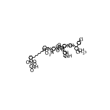 CC1(C)CCC(CN2CCN(c3ccc(C(=O)NS(=O)(=O)c4ccc(NCC5CCCN(CCCCCCCc6cccc7c6C(=O)N(C6CCC(=O)NC6=O)C7=O)C5)c([N+](=O)[O-])c4)c(Oc4cnc5[nH]ccc5c4)c3)CC2)=C(c2ccc(Cl)cc2)C1